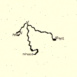 CCCCC/C=C\C/C=C\CCCCCCCCC(CCCCCCCC/C=C\C/C=C\CCCCC)N(C)CCCc1c[nH]cn1